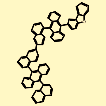 c1cc(-c2c3ccccc3c(-c3ccc4oc5ccccc5c4c3)c3ccccc23)c2ccc(-c3ccc4c(-c5c6ccccc6c(-c6cccc7ccccc67)c6ccccc56)cccc4c3)cc2c1